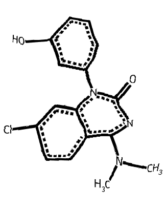 CN(C)c1nc(=O)n(-c2cccc(O)c2)c2cc(Cl)ccc12